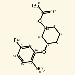 CC(C)(C)C(=O)ON1CCC[C@@H](Oc2cc(F)ccc2[N+](=O)[O-])C1